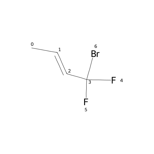 CC=CC(F)(F)Br